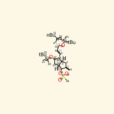 C=C1C[C@@H]2[C@H](/C=C/[C@H](C[C@H](C)CCCC)O[Si](C)(C)C(C)(C)C)[C@H](O[Si](C)(C)C(C)(C)C)C[C@@H]2C1OS(C)(=O)=O